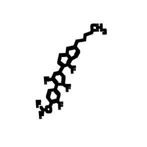 CCCCCc1ccc2c(F)c(-c3cc(F)c(-c4ccc(OC(F)F)c(F)c4)c(F)c3)ccc2c1